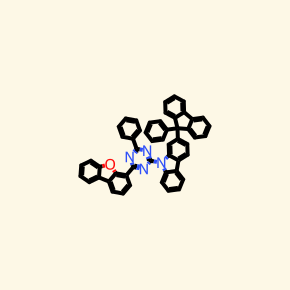 c1ccc(-c2nc(-c3cccc4c3oc3ccccc34)nc(-n3c4ccccc4c4ccc(C5(c6ccccc6)c6ccccc6-c6ccccc65)cc43)n2)cc1